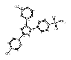 CS(=O)(=O)c1ccc(-n2nc(-c3ccc(Cl)cc3)cc2-c2cccc(Cl)c2)cc1